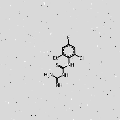 CCc1cc(F)cc(Cl)c1NC(=S)NC(=N)N